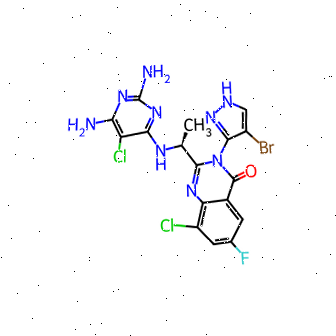 C[C@H](Nc1nc(N)nc(N)c1Cl)c1nc2c(Cl)cc(F)cc2c(=O)n1-c1n[nH]cc1Br